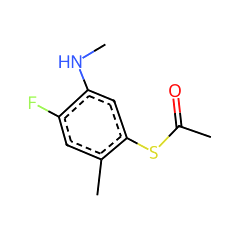 CNc1cc(SC(C)=O)c(C)cc1F